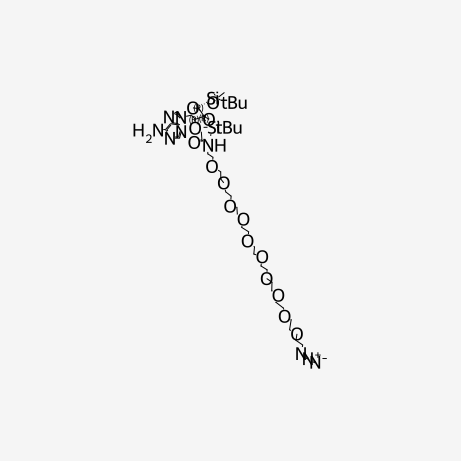 CC(C)(C)[Si](C)(C)OC[C@H]1OC(n2cnc3c(N)ncnc32)[C@H](OCC(=O)NCCOCCOCCOCCOCCOCCOCCOCCOCCOCCOCCN=[N+]=[N-])[C@@H]1O[Si](C)(C)C(C)(C)C